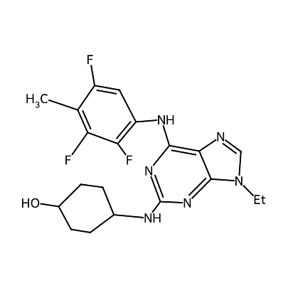 CCn1cnc2c(Nc3cc(F)c(C)c(F)c3F)nc(NC3CCC(O)CC3)nc21